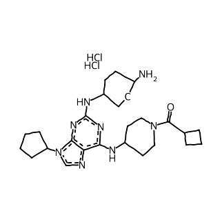 Cl.Cl.NC1CCC(Nc2nc(NC3CCN(C(=O)C4CCC4)CC3)c3ncn(C4CCCC4)c3n2)CC1